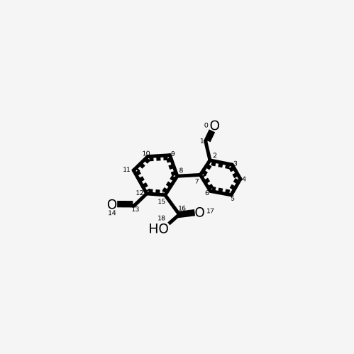 O=Cc1ccccc1-c1cccc(C=O)c1C(=O)O